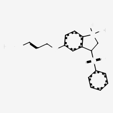 CCOC(=O)C=CCOc1ccc2c(c1)C(S(=O)(=O)c1ccccc1)CS2(O)O